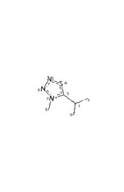 CC(C)c1snn[n+]1C